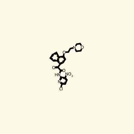 O=C(Nc1nc(Cl)ccc1[N+](=O)[O-])C(=O)c1ccc(OCCN2CCOCC2)c2ccccc12